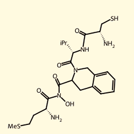 CSCC[C@@H](N)C(=O)N(O)C(=O)C1Cc2ccccc2CN1C(=O)[C@@H](NC(=O)[C@@H](N)CS)C(C)C